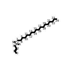 CC=CC[Si](C)(C)CCCCCCCCCCCCCCCCCC